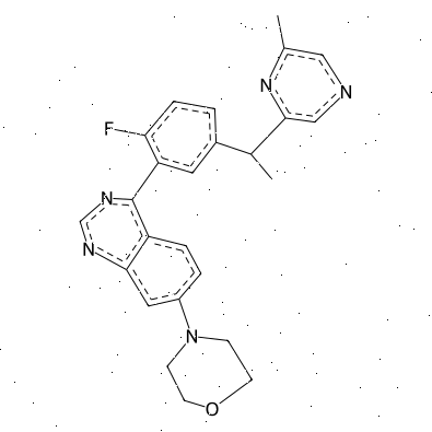 Cc1cncc(C(C)c2ccc(F)c(-c3ncnc4cc(N5CCOCC5)ccc34)c2)n1